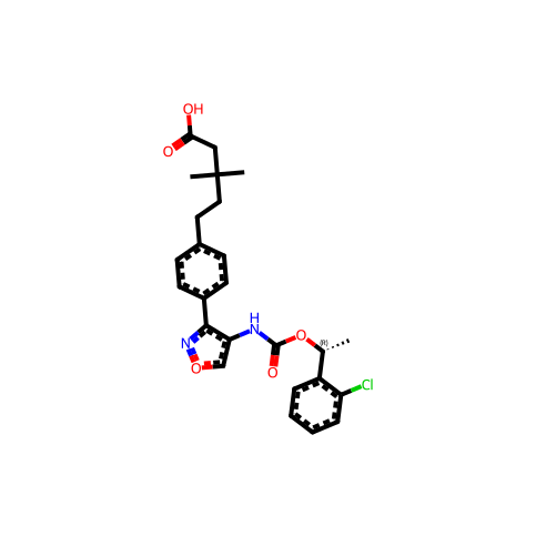 C[C@@H](OC(=O)Nc1conc1-c1ccc(CCC(C)(C)CC(=O)O)cc1)c1ccccc1Cl